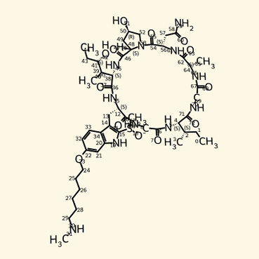 CC[C@H](C)[C@@H]1NC(=O)CNC(=O)[C@H](Cc2c([S@@+](C)[O-])[nH]c3cc(OCCCCCCNC)ccc23)NC(=O)[C@H]([C@@H](C)[C@@H](O)CC)NC(=O)[C@@H]2C[C@@H](O)CN2C(=O)[C@H](CC(N)=O)NC(=O)[C@H](C)NC(=O)CNC1=O